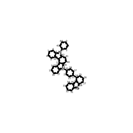 c1ccc(-n2c3ccccc3c3c4c5ccccc5n(-c5ccc(-c6cccc7sc8ccccc8c67)cc5)c4ccc32)cc1